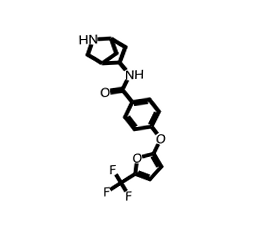 O=C(NC1CC2CC1CN2)c1ccc(Oc2ccc(C(F)(F)F)o2)cc1